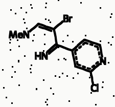 CN/C=C(/Br)C(=N)c1ccnc(Cl)c1